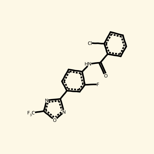 O=C(Nc1ccc(-c2noc(C(F)(F)F)n2)cc1F)c1ccccc1Cl